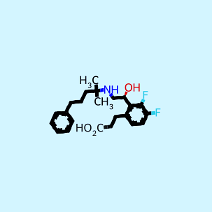 CC(C)(CCCc1ccccc1)NC[C@@H](O)c1c(CCC(=O)O)ccc(F)c1F